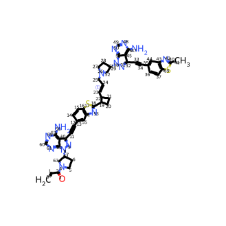 C=CC(=O)N1CC[C@H](n2nc(C#Cc3ccc4sc(C5CCC5/C=C/CN5CC[C@H](n6nc(C#Cc7ccc8sc(C)nc8c7)c7c(N)ncnc76)C5)nc4c3)c3c(N)ncnc32)C1